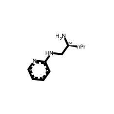 CCC[C@H](N)CNc1ccccn1